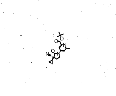 Cc1cc(N2CC[C@@](C#N)(C3CC3)C2=O)cc(C(=O)OC(C)(C)C)n1